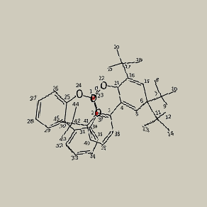 COc1c(C2=CC(C(C)(C)C)(C(C)(C)C)C=C(C(C)(C)C)C2Op2oc3ccccc3c3ccccc3o2)cccc1C(C)(C)C